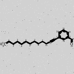 CCCCCCCCCCCC#Cc1cccc(C=O)c1